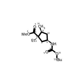 CC[C@@]1(C(=O)OC)C[C@H](NC(=O)OC(C)(C)C)C[C@@H]1C